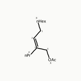 CCCCCCCC=C(CCC)COC(C)=O